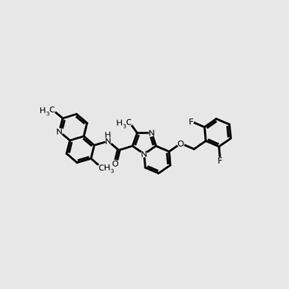 Cc1ccc2c(NC(=O)c3c(C)nc4c(OCc5c(F)cccc5F)cccn34)c(C)ccc2n1